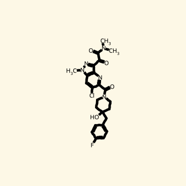 CN(C)C(=O)C(=O)c1nn(C)c2cc(Cl)c(C(=O)N3CCC(O)(Cc4ccc(F)cc4)CC3)nc12